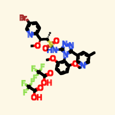 COc1cccc(OC)c1-n1c(NS(=O)(=O)[C@@H](C)[C@H](OC)c2ccc(Br)cn2)nnc1-c1cncc(C)c1.O=C(O)C(F)(F)F.O=C(O)C(F)(F)F